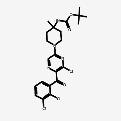 CC1(NC(=O)OC(C)(C)C)CCN(c2cnc(C(=O)c3cccc(Cl)c3Cl)c(Cl)n2)CC1